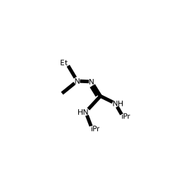 CCN(C)N=C(NC(C)C)NC(C)C